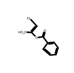 CCC=C(OC(=O)c1ccccc1)C(=O)O